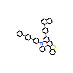 c1ccc(-c2ccc(-c3ccc(N(c4cccc(-c5ccc(-c6cccc7ccccc67)cc5)c4)c4ccccc4-c4cccc5sc6ccccc6c45)cc3)cc2)cc1